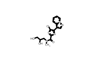 CN(CC(O)CO)C(=O)c1nc(-c2cnn3ccccc23)c(Cl)s1